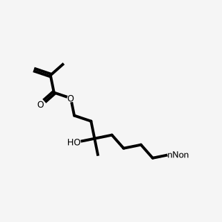 C=C(C)C(=O)OCCC(C)(O)CCCCCCCCCCCCC